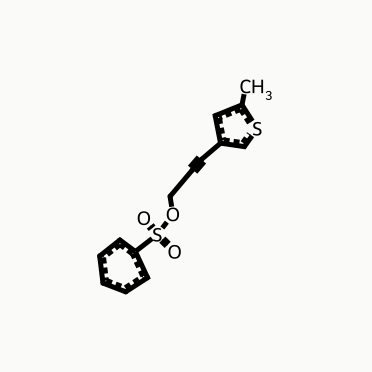 Cc1cc(C#CCOS(=O)(=O)c2ccccc2)cs1